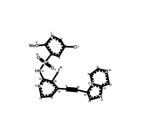 COc1ncc(Cl)cc1S(=O)(=O)Nc1nccc(C#Cc2cnc3cnccn23)c1F